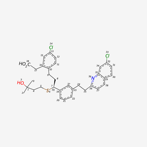 CC(C)(O)CCS[C@@H](CCc1ccc(Cl)cc1CC(=O)O)c1cccc(CCc2ccc3ccc(Cl)cc3n2)c1